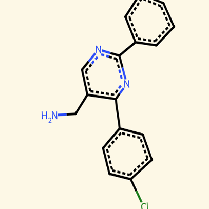 NCc1cnc(-c2ccccc2)nc1-c1ccc(Cl)cc1